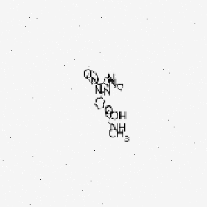 CNCC(O)COc1cccc(-c2nc(N3C4CCC3COC4)c3cnn(C4CC4)c3n2)c1